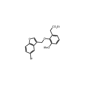 CCOC(=O)Cc1cccc(OC)c1OCc1coc2ccc(Br)cc12